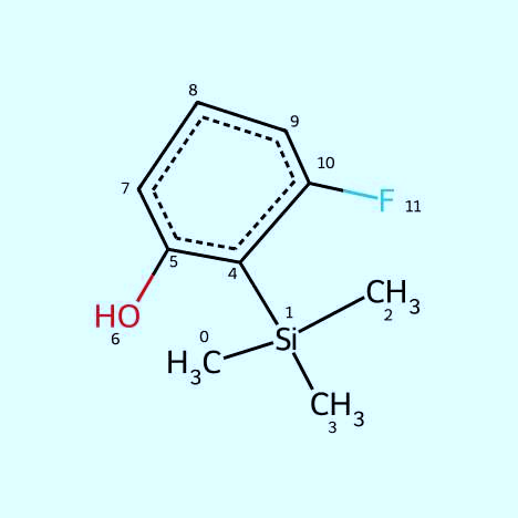 C[Si](C)(C)c1c(O)cccc1F